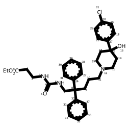 CCOC(=O)CCNC(=O)NCC(CCCN1CCC(O)(c2ccc(Cl)cc2)CC1)(c1ccccc1)c1ccccc1